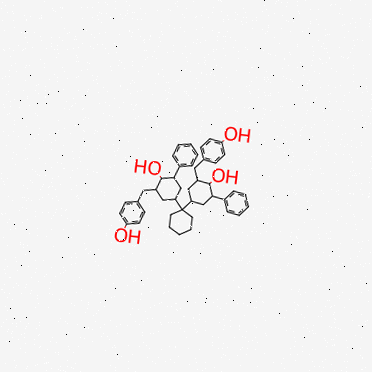 Oc1ccc(CC2CC(C3(C4CC(Cc5ccc(O)cc5)C(O)C(c5ccccc5)C4)CCCCC3)CC(c3ccccc3)C2O)cc1